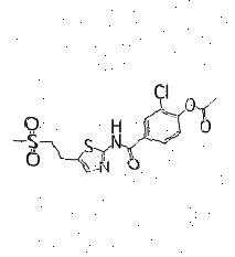 CC(=O)Oc1ccc(C(=O)Nc2ncc(CCS(C)(=O)=O)s2)cc1Cl